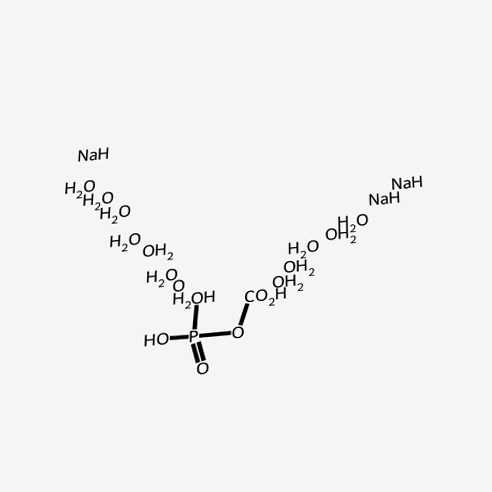 O.O.O.O.O.O.O.O.O.O.O.O.O=C(O)OP(=O)(O)O.[NaH].[NaH].[NaH]